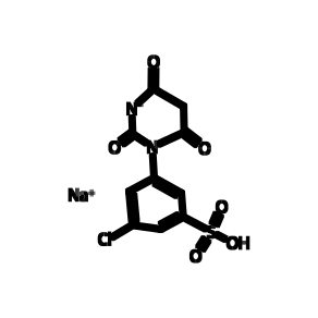 O=C1CC(=O)N(c2cc(Cl)cc(S(=O)(=O)O)c2)C(=O)[N-]1.[Na+]